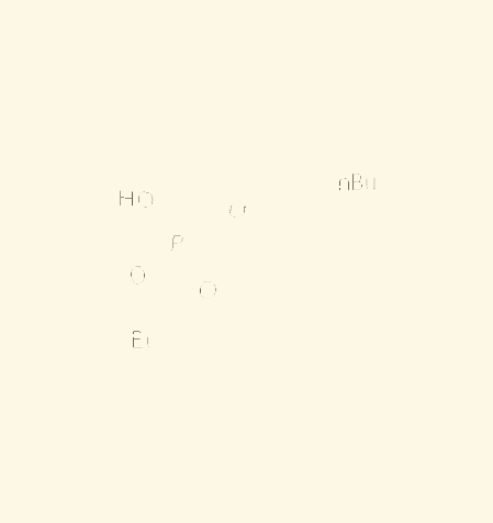 CCCCCOP(=O)(O)OCC